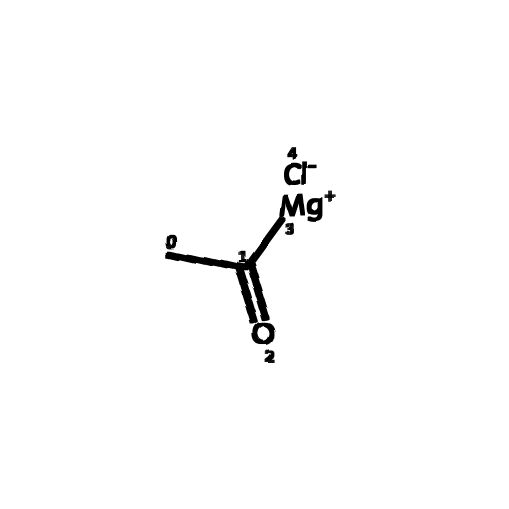 C[C](=O)[Mg+].[Cl-]